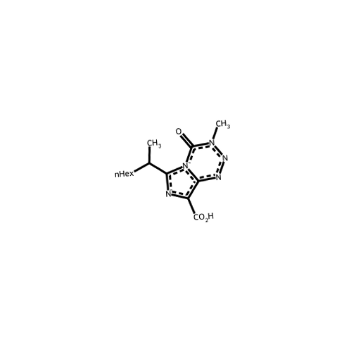 CCCCCCC(C)c1nc(C(=O)O)c2nnn(C)c(=O)n12